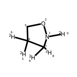 [2H]N1OCC([2H])([2H])C1([2H])[2H]